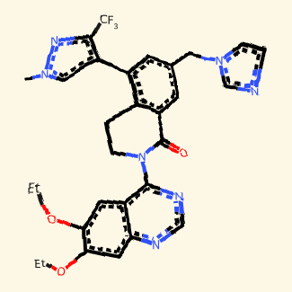 CCOc1cc2ncnc(N3CCc4c(cc(Cn5ccnc5)cc4-c4cn(C)nc4C(F)(F)F)C3=O)c2cc1OCC